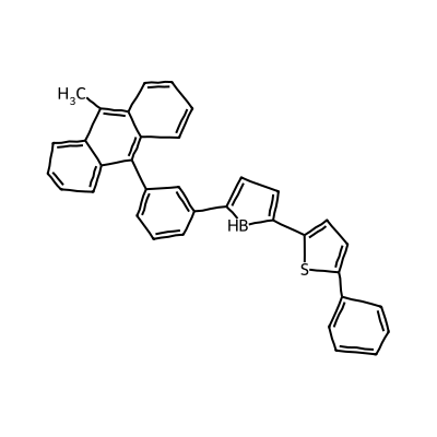 Cc1c2ccccc2c(-c2cccc(C3=CC=C(c4ccc(-c5ccccc5)s4)B3)c2)c2ccccc12